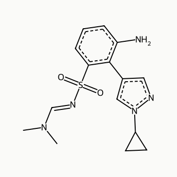 CN(C)C=NS(=O)(=O)c1cccc(N)c1-c1cnn(C2CC2)c1